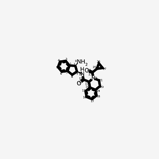 N[C@H]1c2ccccc2C[C@@H]1NC(=O)C1c2ccccc2CCN1C(=O)C1CC1